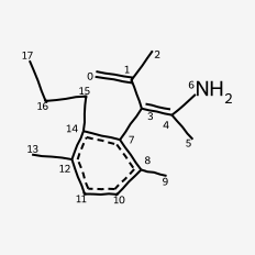 C=C(C)/C(=C(/C)N)c1c(C)ccc(C)c1CCC